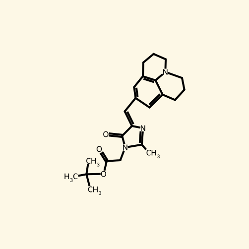 CC1=N/C(=C\c2cc3c4c(c2)CCCN4CCC3)C(=O)N1CC(=O)OC(C)(C)C